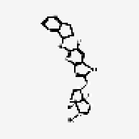 O[C@@H]1CO[C@H]2[C@@H]1OC[C@H]2Oc1nc2nc(NC3CCc4cccnc43)c(Cl)cc2[nH]1